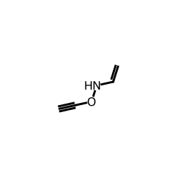 C#CONC=C